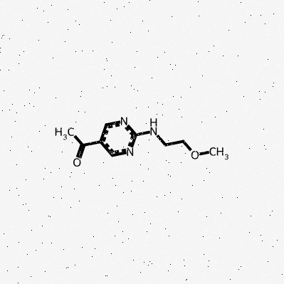 COCCNc1ncc(C(C)=O)cn1